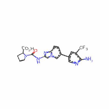 Nc1ncc(-c2ccc3nc(NC(=O)N4CCCC4C(=O)O)cn3c2)cc1C(F)(F)F